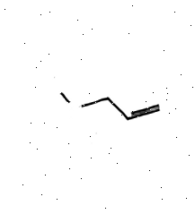 C=CCOO.O